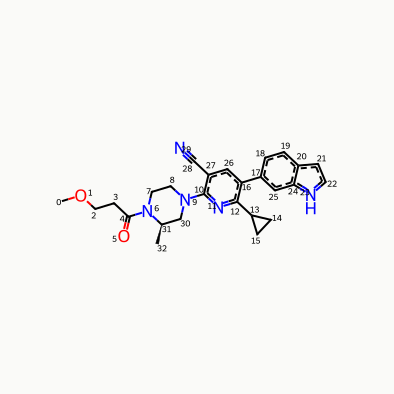 COCCC(=O)N1CCN(c2nc(C3CC3)c(-c3ccc4cc[nH]c4c3)cc2C#N)C[C@H]1C